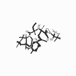 [2H]C(C)(C)C([2H])([2H])OC(=O)[C@](C)(CC(C)c1ccc(C)c(C)c1)N[C@@](C)(CC)C(=O)N1[C@H](C=O)C[C@@H]2CC(C)(C)C(C)(C)[C@@H]21